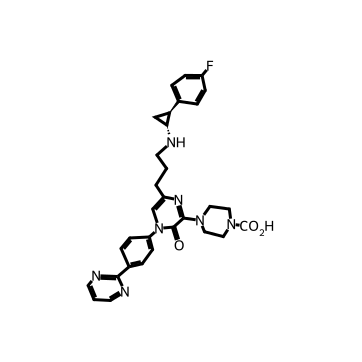 O=C(O)N1CCN(c2nc(CCCN[C@@H]3C[C@H]3c3ccc(F)cc3)cn(-c3ccc(-c4ncccn4)cc3)c2=O)CC1